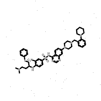 CN(C)CCC(CSc1ccccc1)Nc1ccc(S(=O)(=O)Nc2ncnc3cc(N4CCN(Cc5ccccc5N5CCCCC5)CC4)ccc23)cc1[N+](=O)[O-]